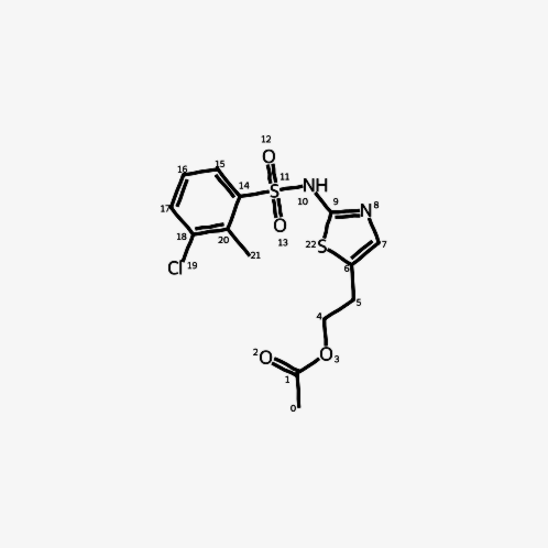 CC(=O)OCCc1cnc(NS(=O)(=O)c2cccc(Cl)c2C)s1